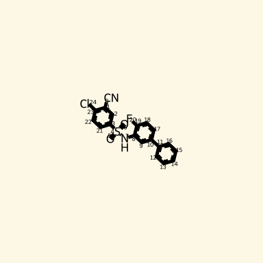 N#Cc1cc(S(=O)(=O)Nc2cc(-c3ccccc3)ccc2F)ccc1Cl